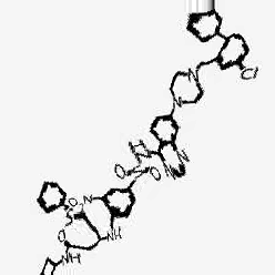 O=C(CC(CSc1ccccc1)Nc1ccc(S(=O)(=O)Nc2ncnc3cc(N4CCN(Cc5cc(Cl)ccc5-c5ccccc5)CC4)ccc23)cc1[N+](=O)[O-])NC1CCC1